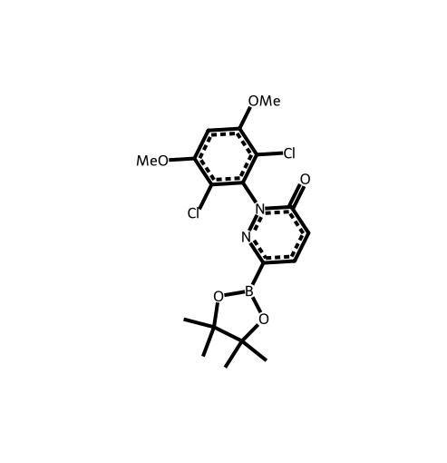 COc1cc(OC)c(Cl)c(-n2nc(B3OC(C)(C)C(C)(C)O3)ccc2=O)c1Cl